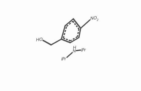 CC(C)NC(C)C.O=[N+]([O-])c1ccc(CO)cc1